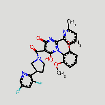 COc1cccc(OC)c1-n1c(-c2cccc(C)n2)nc(=O)c(C(=O)N2CCC(c3ncc(F)cc3F)C2)c1O